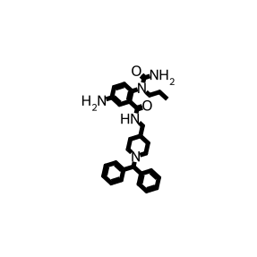 CCCN(C(N)=O)c1ccc(N)cc1C(=O)NCC1CCN(C(c2ccccc2)c2ccccc2)CC1